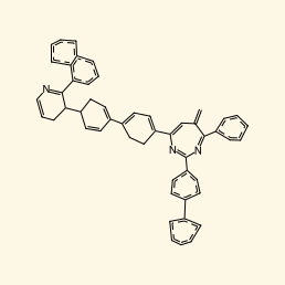 C=C1C=C(C2=CC=C(C3=CCC(C4CC=CN=C4c4cccc5ccccc45)C=C3)CC2)N=C(c2ccc(-c3ccccc3)cc2)N=C1c1ccccc1